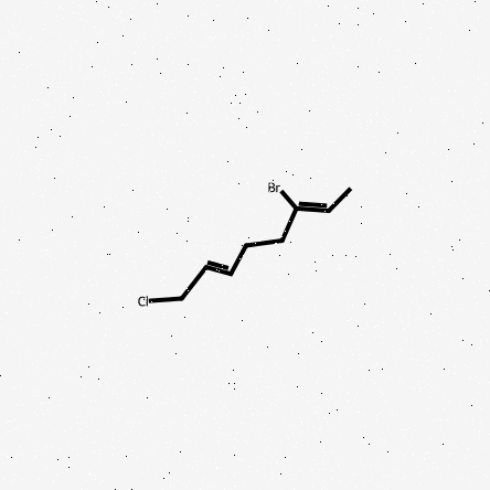 CC=C(Br)C[CH]C=CCCl